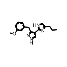 CCCc1c[nH]c(-c2c[nH]nc2Cc2cccc(OC)c2)n1